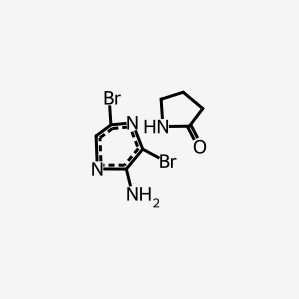 Nc1ncc(Br)nc1Br.O=C1CCCN1